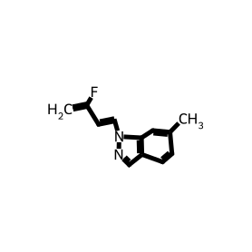 C=C(F)/C=C/n1ncc2ccc(C)cc21